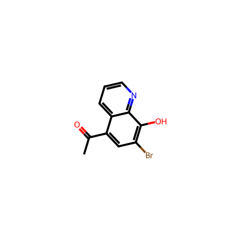 CC(=O)c1cc(Br)c(O)c2ncccc12